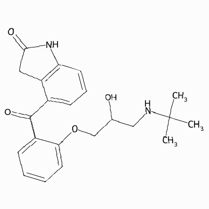 CC(C)(C)NCC(O)COc1ccccc1C(=O)c1cccc2c1CC(=O)N2